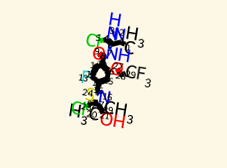 Cc1n[nH]c(Cl)c1NC(=O)c1cc(F)c(-c2nc(C(C)(C)O)c(Cl)s2)cc1OCC(F)(F)F